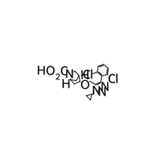 O=C(O)N1C[C@@H]2C[C@H]1C[C@H]2OCc1c(-c2c(Cl)cccc2Cl)nnn1C1CC1